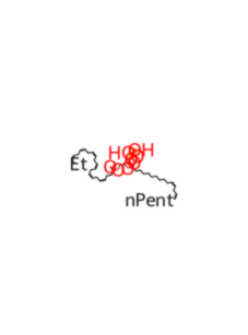 CC/C=C\C/C=C\C/C=C\C/C=C\C/C=C\C/C=C\CCC(=O)OC[C@H](COP(=O)(O)O)OC(=O)CCCCCCCCC/C=C\C/C=C\CCCCC